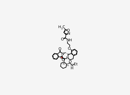 CCNC(=O)[C@H]1CCCC[C@H]1C(=O)N1CCc2cccc(OCCNC(=O)c3cc(C)on3)c2[C@H]1CN1C(=O)c2ccccc2C1=O